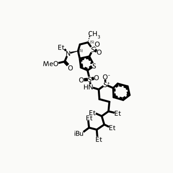 CCC(C)C(CC)C(CC)C(CC)C(CC)C(CC)CCC(NS(=O)(=O)c1cc2c(s1)S(=O)(=O)[C@@H](C)C[C@@H]2N(CC)C(=O)OC)[S+]([O-])c1ccccc1